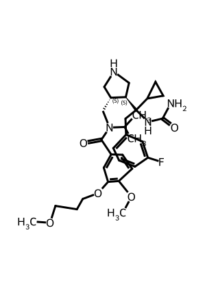 COCCCOc1cc(C(=O)N(C[C@@H]2CNC[C@H]2C(Cc2cccc(F)c2)(NC(N)=O)C2CC2)C(C)C)ccc1OC